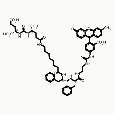 Cc1ccc2c(-c3ccc(NC(=S)NCCNC(=O)[C@H](Cc4ccccc4)NC[C@H](Cc4ccccc4)NC(=O)CCCCCCCNC(=O)CC[C@H](NC(=O)N[C@@H](CCC(=O)O)C(=O)O)C(=O)O)cc3C(=O)O)c3ccc(=O)cc-3oc2c1